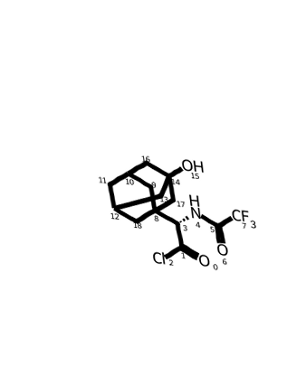 O=C(Cl)[C@@H](NC(=O)C(F)(F)F)C12CC3CC(CC(O)(C3)C1)C2